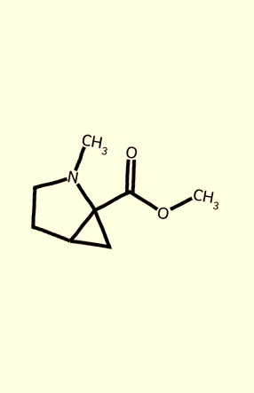 COC(=O)C12CC1CCN2C